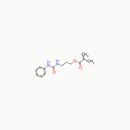 C=C(C)C(=O)OCCCNC(=O)Nc1ccccc1